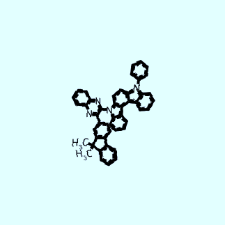 CC1(C)c2ccccc2-c2ccc(-c3nc4ccccc4nc3-n3c4ccccc4c4c5c6ccccc6n(-c6ccccc6)c5ccc43)cc21